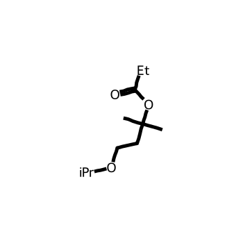 CCC(=O)OC(C)(C)CCOC(C)C